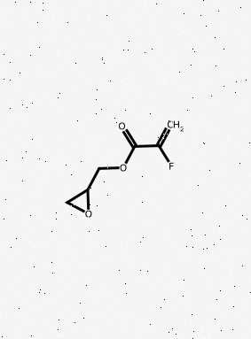 C=C(F)C(=O)OCC1CO1